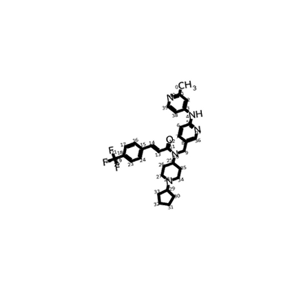 Cc1cc(Nc2ccc(CN(C(=O)/C=C/c3ccc(C(F)(F)F)cc3)C3CCN(C4CCCC4)CC3)cn2)ccn1